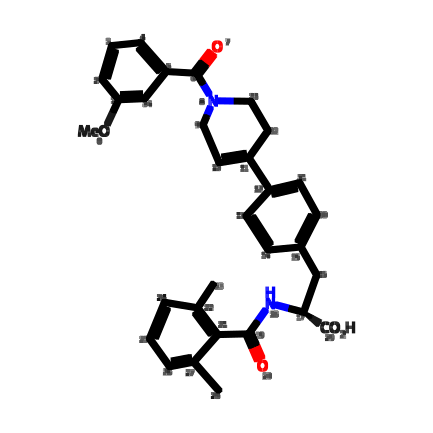 COc1cccc(C(=O)N2CC=C(c3ccc(C[C@H](NC(=O)c4c(C)cccc4C)C(=O)O)cc3)CC2)c1